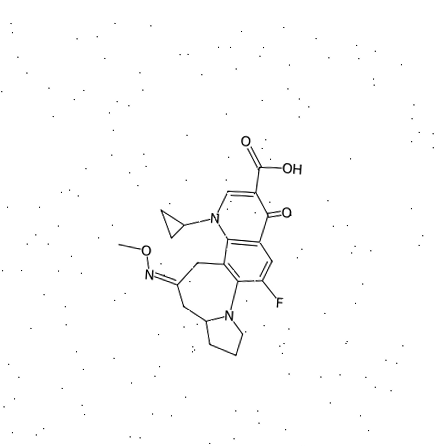 CON=C1Cc2c(c(F)cc3c(=O)c(C(=O)O)cn(C4CC4)c23)N2CCCC2C1